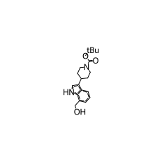 CC(C)(C)OC(=O)N1CCC(c2c[nH]c3c(CO)cccc23)CC1